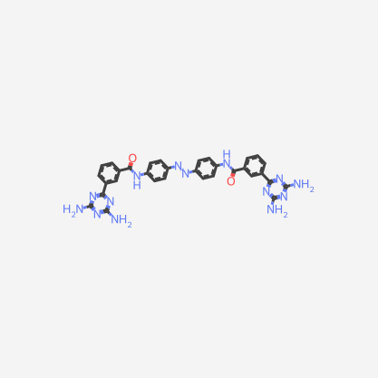 Nc1nc(N)nc(-c2cccc(C(=O)Nc3ccc(/N=N/c4ccc(NC(=O)c5cccc(-c6nc(N)nc(N)n6)c5)cc4)cc3)c2)n1